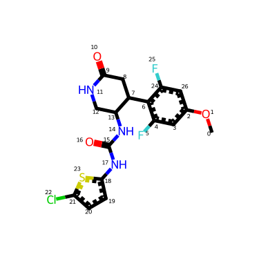 COc1cc(F)c(C2CC(=O)NCC2NC(=O)Nc2ccc(Cl)s2)c(F)c1